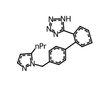 CCCc1ccnn1Cc1ccc(-c2ccccc2-c2nnn[nH]2)cc1